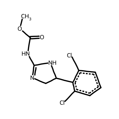 COC(=O)NC1=NCC(c2c(Cl)cccc2Cl)N1